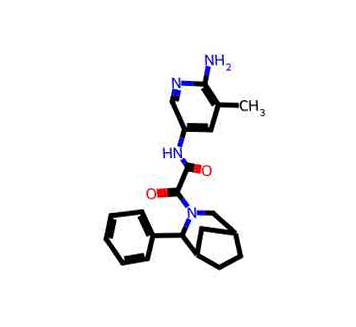 Cc1cc(NC(=O)C(=O)N2CC3CCC(C3)C2c2ccccc2)cnc1N